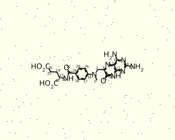 CN(Cc1nc2c(N)nc(N)nc2[nH]c1=O)c1ccc(C(=O)N[C@@H](CCC(=O)O)C(=O)O)cc1